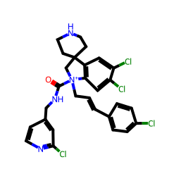 O=C(NCc1ccnc(Cl)c1)[N+]1(C/C=C/c2ccc(Cl)cc2)CC2(CCNCC2)c2cc(Cl)c(Cl)cc21